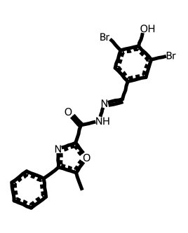 Cc1oc(C(=O)N/N=C/c2cc(Br)c(O)c(Br)c2)nc1-c1ccccc1